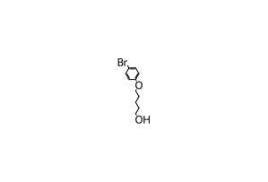 OCCCCCOc1ccc(Br)cc1